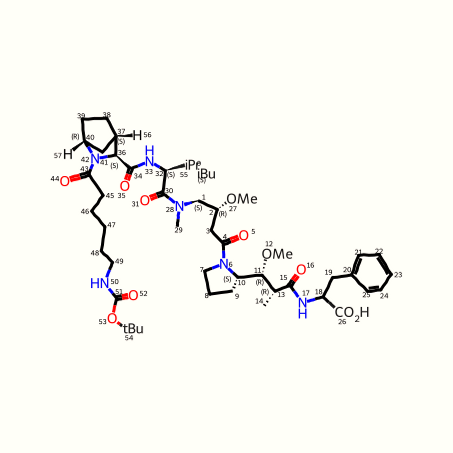 CC[C@H](C)[C@@H]([C@@H](CC(=O)N1CCC[C@H]1[C@H](OC)[C@@H](C)C(=O)NC(Cc1ccccc1)C(=O)O)OC)N(C)C(=O)[C@@H](NC(=O)[C@@H]1[C@H]2CC[C@H](C2)N1C(=O)CCCCCNC(=O)OC(C)(C)C)C(C)C